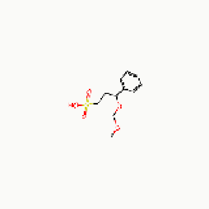 COCOC(CCS(=O)(=O)O)c1ccccc1